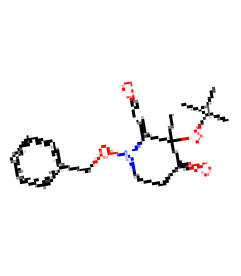 CC1(O[Si](C)(C)C)C(=O)CCN(OCc2ccccc2)C1=C=O